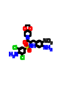 Nc1ccc(CC(NS(=O)(=O)c2cc(Cl)c(N)c(Cl)c2)C(=O)N2CCC3(CC2)OCCO3)cc1[N+](=O)[O-]